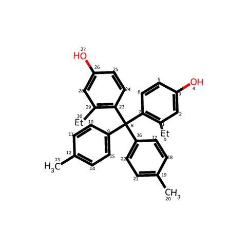 CCc1cc(O)ccc1C(c1ccc(C)cc1)(c1ccc(C)cc1)c1ccc(O)cc1CC